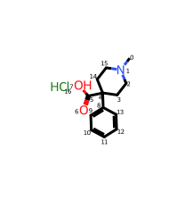 CN1CCC(C(=O)O)(c2ccccc2)CC1.Cl